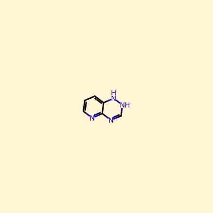 C1=Nc2ncccc2NN1